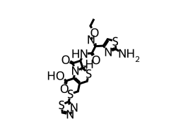 CCON=C(C(=O)NC1C(=O)N2C(C(=O)O)=C(CSc3nncs3)CS[C@@H]12)c1csc(N)n1